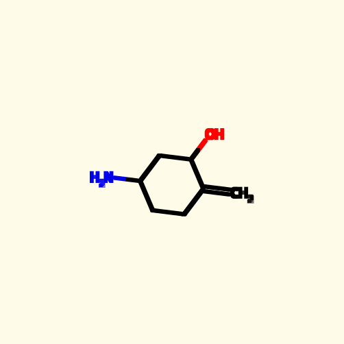 C=C1CCC(N)CC1O